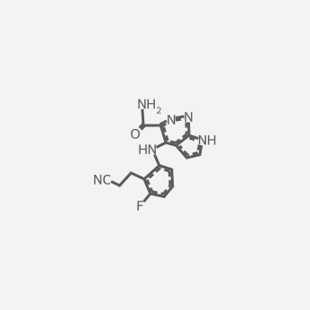 N#CCCc1c(F)cccc1Nc1c(C(N)=O)nnc2[nH]ccc12